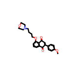 COc1ccc(C2=CC(=O)c3c(OCCCCN4CCOCC4)cccc3C2=O)cc1